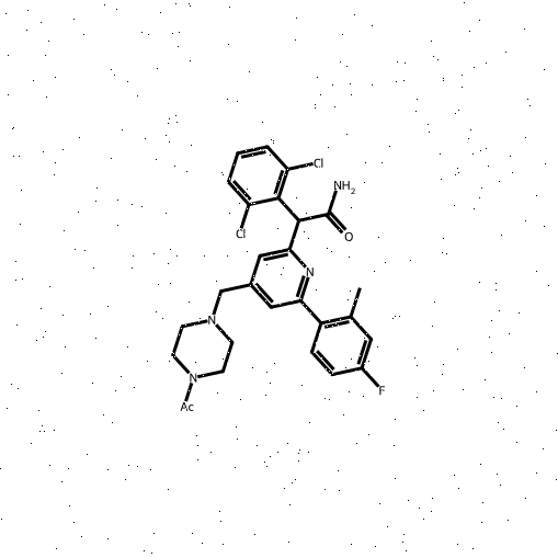 CC(=O)N1CCN(Cc2cc(-c3ccc(F)cc3C)nc(C(C(N)=O)c3c(Cl)cccc3Cl)c2)CC1